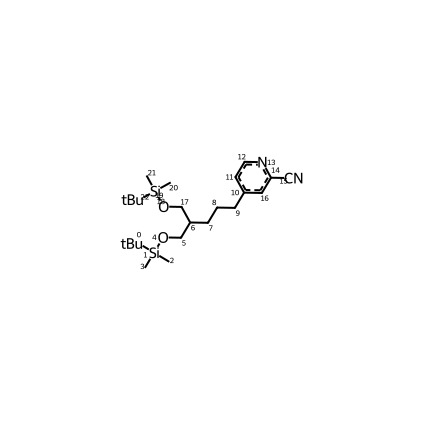 CC(C)(C)[Si](C)(C)OCC(CCCc1ccnc(C#N)c1)CO[Si](C)(C)C(C)(C)C